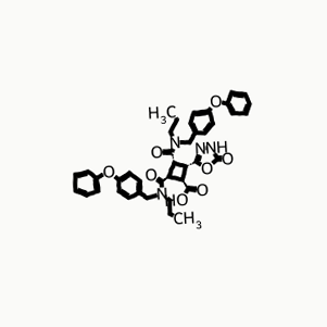 CCCN(Cc1ccc(Oc2ccccc2)cc1)C(=O)[C@@H]1[C@H](C(=O)O)[C@@H](c2n[nH]c(=O)o2)[C@H]1C(=O)N(CCC)Cc1ccc(Oc2ccccc2)cc1